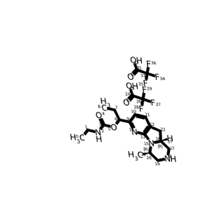 CCNC(=O)OC(CC)c1ccc2c(n1)N1[C@@H](CNC[C@H]1C)C2.O=C(O)C(F)(F)F.O=C(O)C(F)(F)F